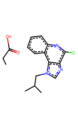 CC(C)Cn1cnc2c(Cl)nc3ccccc3c21.CCC(=O)O